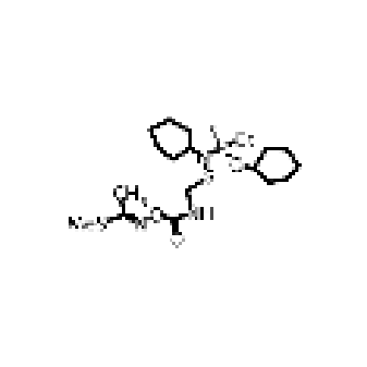 CCP(=S)(OC1CCCCC1)N(SCNC(=O)ON=C(C)SC)C1CCCCC1